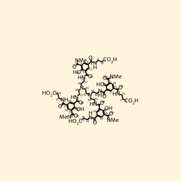 CNC(=O)c1cc(C(=O)NCCC(=O)O)cc(C(=O)NCCN(CCNC(=O)c2cc(C(=O)NCCC(=O)O)cc(C(=O)NC)c2O)CCN(CCNC(=O)c2cc(C(=O)NCCC(=O)O)cc(C(=O)NC)c2O)CCNC(=O)c2cc(C(=O)NCCC(=O)O)cc(C(=O)NC)c2O)c1O